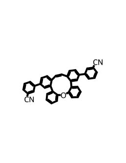 N#Cc1cccc(-c2ccc3c(c2)-c2ccccc2Oc2ccccc2-c2cc(-c4cccc(C#N)c4)ccc2/C=C\3)c1